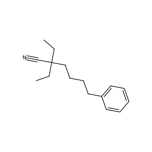 CCC(C#N)(CC)CCCCc1ccccc1